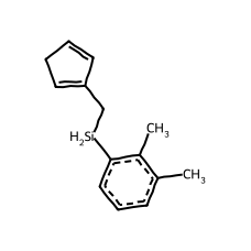 Cc1cccc([SiH2]CC2=CCC=C2)c1C